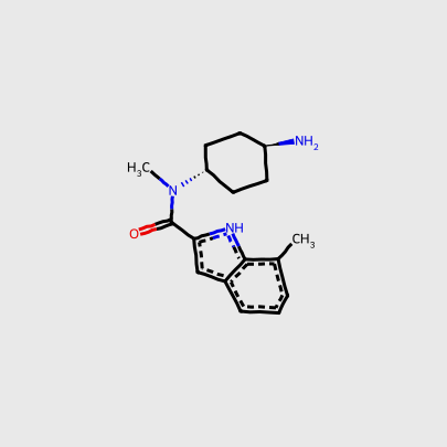 Cc1cccc2cc(C(=O)N(C)[C@H]3CC[C@H](N)CC3)[nH]c12